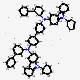 C1=CCCC(n2c3ccccc3c3cc(N(C4=CC=CC(c5ccccc5)C4)c4ccc(-c5ccc(N(c6cccc(-c7ccccc7)c6)c6ccc7c(c6)c6ccccc6n7-c6ccccc6)cc5)cc4)ccc32)=C1